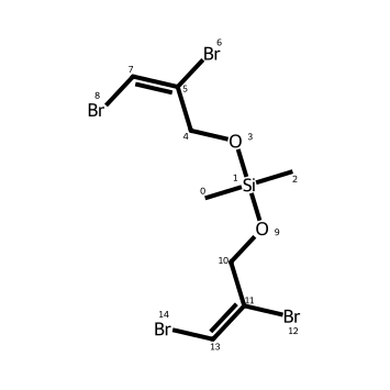 C[Si](C)(OC/C(Br)=C\Br)OC/C(Br)=C\Br